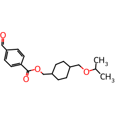 CC(C)OCC1CCC(COC(=O)c2ccc(C=O)cc2)CC1